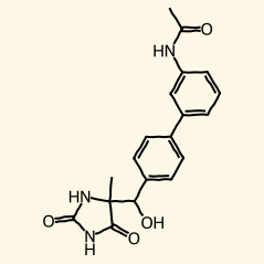 CC(=O)Nc1cccc(-c2ccc(C(O)C3(C)NC(=O)NC3=O)cc2)c1